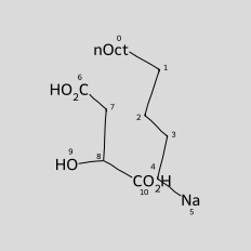 CCCCCCCCCCC[CH2][Na].O=C(O)CC(O)C(=O)O